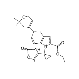 CCOC(=O)c1cc2cc(C3=CCOC(C)(C)C3)ccc2n1C1(c2noc(=O)[nH]2)CC1